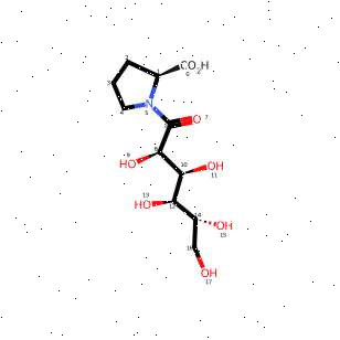 O=C(O)[C@@H]1CCCN1C(=O)[C@H](O)[C@@H](O)[C@H](O)[C@H](O)CO